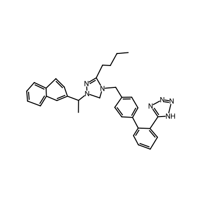 CCCCC1=NN(C(C)c2ccc3ccccc3c2)CN1Cc1ccc(-c2ccccc2-c2nnn[nH]2)cc1